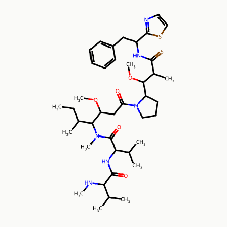 CCC(C)C(C(CC(=O)N1CCCC1C(OC)C(C)C(=S)NC(Cc1ccccc1)c1nccs1)OC)N(C)C(=O)C(NC(=O)C(NC)C(C)C)C(C)C